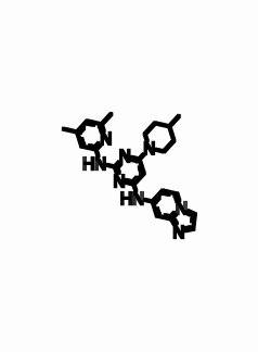 Cc1cc(C)nc(Nc2nc(Nc3ccn4ccnc4c3)cc(N3CCC(C)CC3)n2)c1